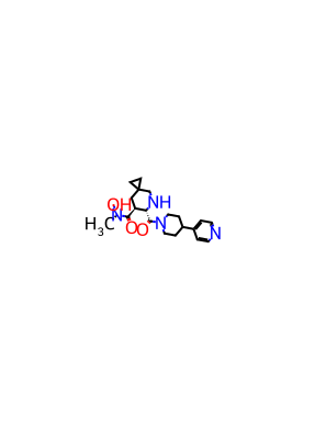 CN(O)C(=O)[C@H]1CC2(CC2)CN[C@@H]1C(=O)N1CCC(c2ccncc2)CC1